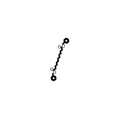 O=C(CC/C=C/CCCCCCCC(=O)OCc1ccccc1)OCc1ccccc1